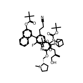 C=C(CO)Cc1c(OC[C@@H]2CCCN2C)nc2c(F)c(-c3cc(OC(=O)C(C)(C)C)cc4ccccc34)c(CCC#N)cc2c1N(C(=O)OC(C)(C)C)C1C2CC1N(C(=O)OC(C)(C)C)C2